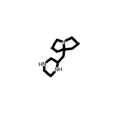 C1CN2CCCC2(CC2CNCCN2)C1